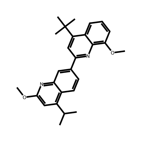 COc1cc(C(C)C)c2ccc(-c3cc(C(C)(C)C)c4cccc(OC)c4n3)cc2n1